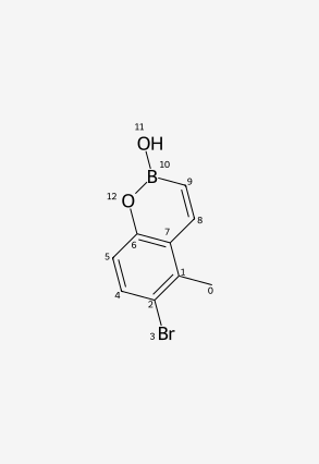 Cc1c(Br)ccc2c1C=CB(O)O2